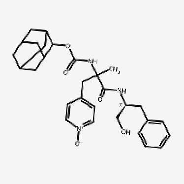 CC(Cc1cc[n+]([O-])cc1)(NC(=O)OC1C2CC3CC(C2)CC1C3)C(=O)N[C@H](CO)Cc1ccccc1